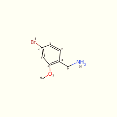 COc1cc(Br)ccc1CN